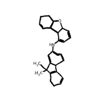 CC1(C)C2=CC(NC3=CC=CC4OC5CCC=CC5C34)=CCC2C2=C1CCC=C2